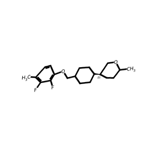 Cc1ccc(OCC2CCC([C@@H]3CCC(C)OC3)CC2)c(F)c1F